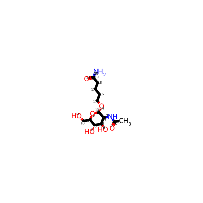 CC(=O)NC1C(O)[C@H](O)C(CO)O[C@H]1OCCCCC(N)=O